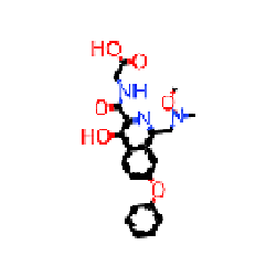 CON(C)Cc1nc(C(=O)NCC(=O)O)c(O)c2ccc(Oc3ccccc3)cc12